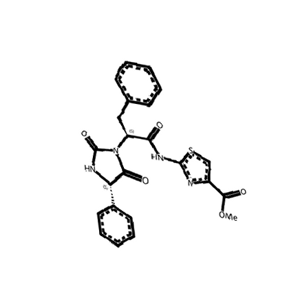 COC(=O)c1csc(NC(=O)[C@H](Cc2ccccc2)N2C(=O)N[C@@H](c3ccccc3)C2=O)n1